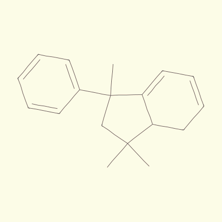 CC1(c2ccccc2)CC(C)(C)C2CC=CC=C21